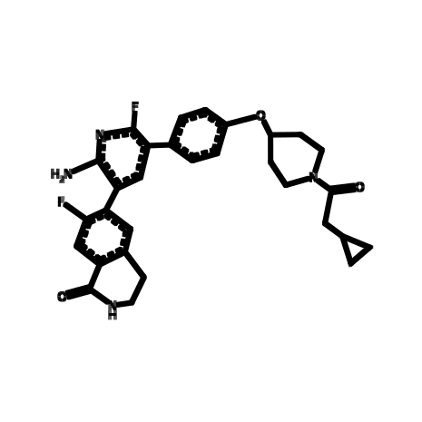 Nc1nc(F)c(-c2ccc(OC3CCN(C(=O)CC4CC4)CC3)cc2)cc1-c1cc2c(cc1F)C(=O)NCC2